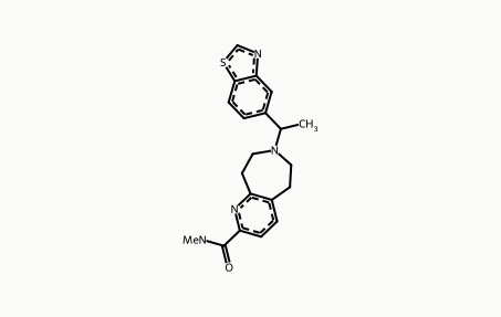 CNC(=O)c1ccc2c(n1)CCN(C(C)c1ccc3scnc3c1)CC2